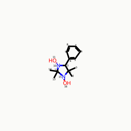 CC1(C)C(c2ccccc2)N(O)C(C)(C)N1O